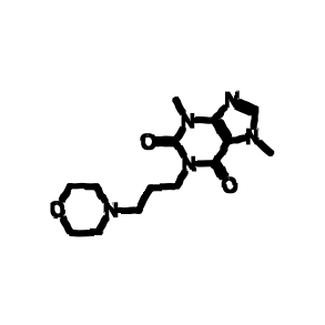 Cn1cnc2c1c(=O)n(CCCN1CCOCC1)c(=O)n2C